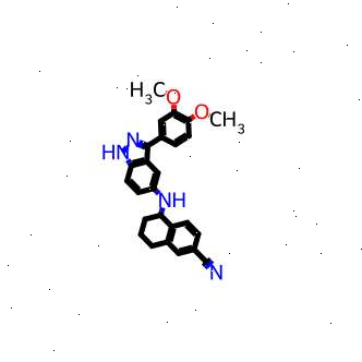 COc1ccc(-c2n[nH]c3ccc(NC4CCCc5cc(C#N)ccc54)cc23)cc1OC